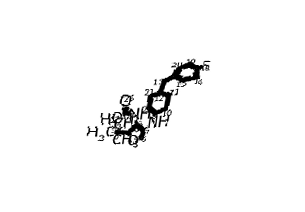 CC(C)(C)C1OC[C@@H](NC2CCC(Cc3ccc(F)cc3)CC2)[C@@H]1NC(=O)O